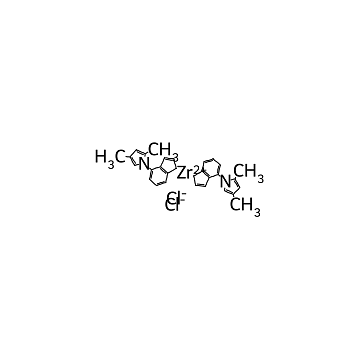 Cc1cc(C)n(-c2cccc3c2C=C[CH]3[Zr+2][CH]2C=Cc3c2cccc3-n2cc(C)cc2C)c1.[Cl-].[Cl-]